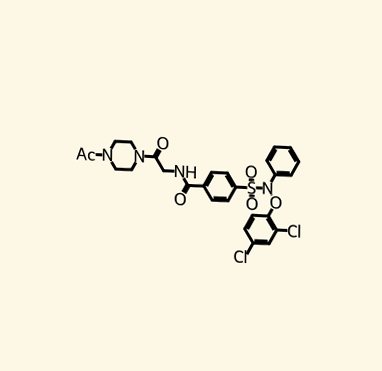 CC(=O)N1CCN(C(=O)CNC(=O)c2ccc(S(=O)(=O)N(Oc3ccc(Cl)cc3Cl)c3ccccc3)cc2)CC1